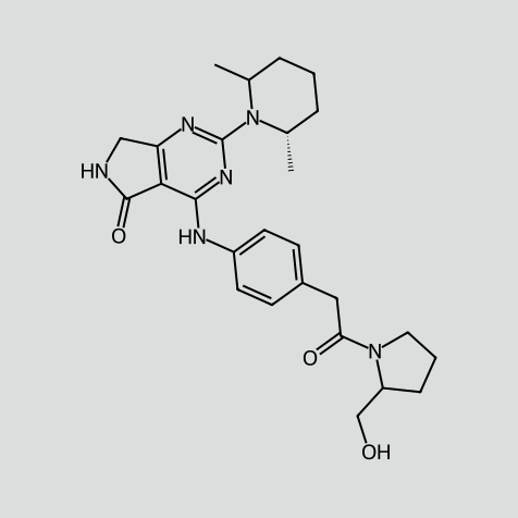 CC1CCC[C@H](C)N1c1nc2c(c(Nc3ccc(CC(=O)N4CCCC4CO)cc3)n1)C(=O)NC2